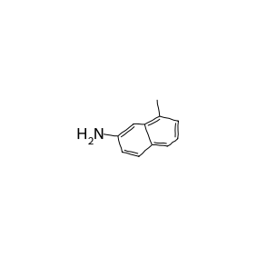 Cc1cccc2ccc(N)cc12